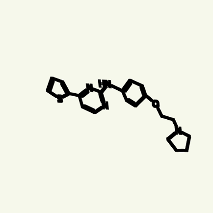 c1csc(-c2ccnc(Nc3ccc(OCCN4CCCC4)cc3)n2)c1